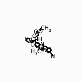 CCOC(=O)CC(=O)NC(C)(C(=O)N1CCCC1)c1ccc2c(c1)nc(Cc1ccc(C#N)cc1)c(=O)n2C